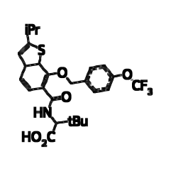 CC(C)C1=CC2C=CC(C(=O)NC(C(=O)O)C(C)(C)C)=C(OCc3ccc(OC(F)(F)F)cc3)C2S1